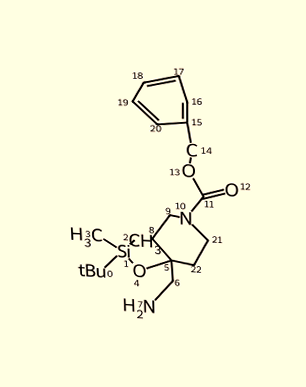 CC(C)(C)[Si](C)(C)OC1(CN)CCN(C(=O)OCc2ccccc2)CC1